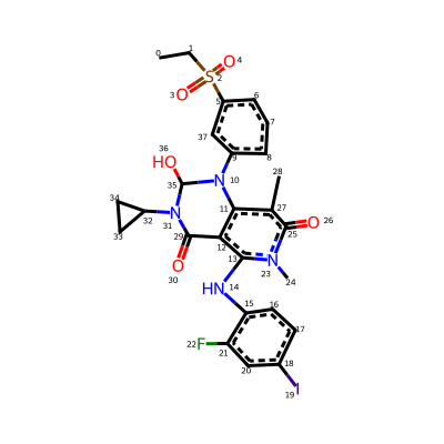 CCS(=O)(=O)c1cccc(N2c3c(c(Nc4ccc(I)cc4F)n(C)c(=O)c3C)C(=O)N(C3CC3)C2O)c1